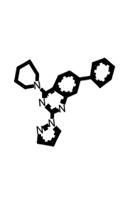 c1ccc(-c2ccc3c(N4CCCCC4)nc(-n4cccn4)nc3c2)cc1